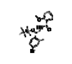 COc1ccccc1C(=O)NCC(O[Si](C)(C)C(C)(C)C)c1ccc(Br)cc1C